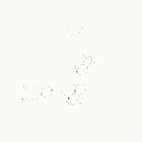 COc1cc2c(cc1OC)CN(c1ncnc3ccc(-c4cnc5c(c4)nc(C)n5COCC[Si](C)(C)C)nc13)CC2